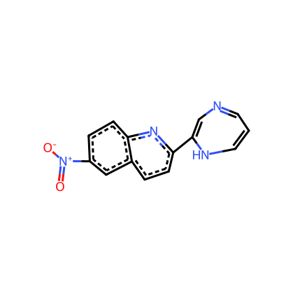 O=[N+]([O-])c1ccc2nc(C3=CN=CC=CN3)ccc2c1